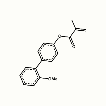 C=C(C)C(=O)Oc1ccc(-c2ccccc2OC)cc1